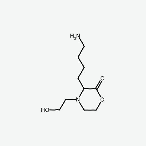 NCCCCC1C(=O)OCCN1CCO